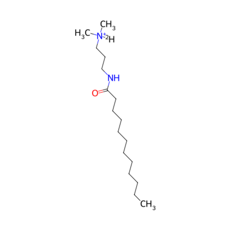 [2H][N+](C)(C)CCCNC(=O)CCCCCCCCCCC